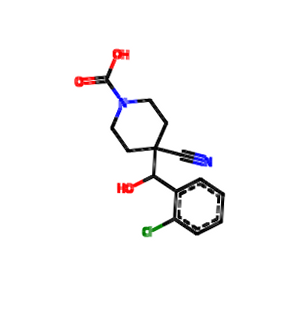 N#CC1(C(O)c2ccccc2Cl)CCN(C(=O)O)CC1